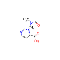 CN(C)C=O.O=C(O)c1ccncn1